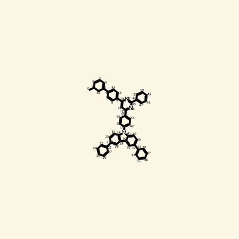 CC1C=CC=C(c2ccc(-c3cc(-c4ccc(-n5c6ccc(-c7ccccc7)cc6c6cc(-c7ccccc7)ccc65)cc4)nc(-c4ccccc4)n3)cc2)C1